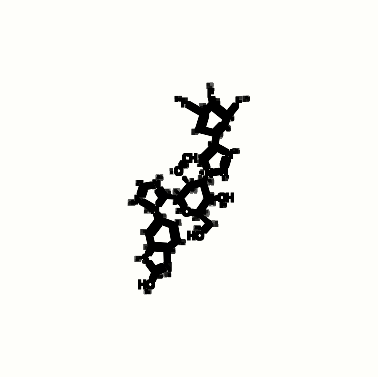 CO[C@@H]1[C@@H](n2cc(-c3cc(F)c(F)c(F)c3)nn2)[C@@H](O)[C@@H](CO)O[C@H]1c1ncnn1-c1ccc2nc(O)sc2c1